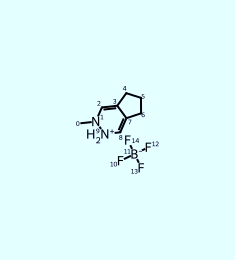 CN1C=C2CCCC2=C[NH2+]1.F[B-](F)(F)F